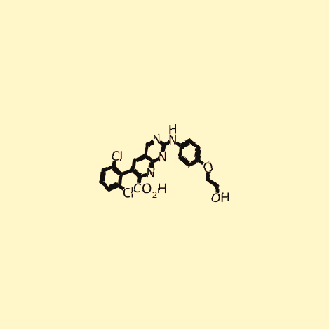 O=C(O)c1nc2nc(Nc3ccc(OCCO)cc3)ncc2cc1-c1c(Cl)cccc1Cl